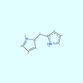 C1=CC(Cc2ccc[nH]2)N=C1